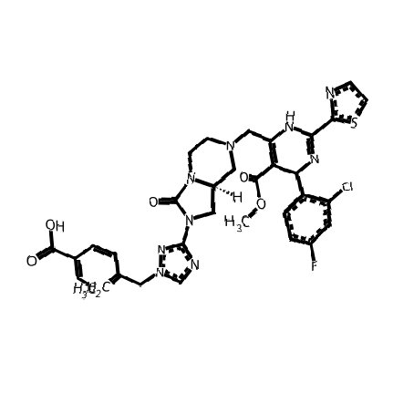 C=C(/C=C\C(=C/C)C(=O)O)Cn1cnc(N2C[C@@H]3CN(CC4=C(C(=O)OC)C(c5ccc(F)cc5Cl)N=C(c5nccs5)N4)CCN3C2=O)n1